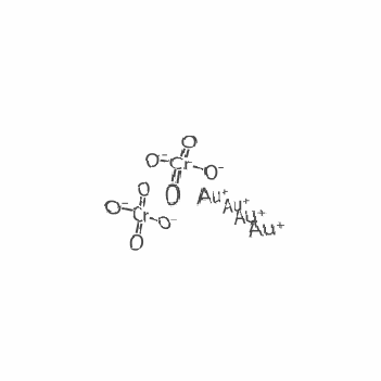 [Au+].[Au+].[Au+].[Au+].[O]=[Cr](=[O])([O-])[O-].[O]=[Cr](=[O])([O-])[O-]